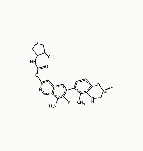 Cc1c(-c2cc3cc(OC(=O)NC4COCC4C)ncc3c(N)c2F)cnc2c1NC[C@H](F)O2